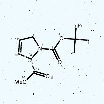 CCCC(C)(C)OC(=O)N1CC=C[C@H]1C(=O)OC